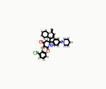 C=C/C=C\C(C1CCCCC1)C1(c2ccc(N3CCCCC3)cc2)CC(=O)C(Sc2ccccc2Cl)C(=O)N1